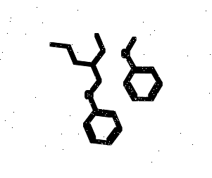 CCCC(CC)COc1ccccc1.COc1ccccc1